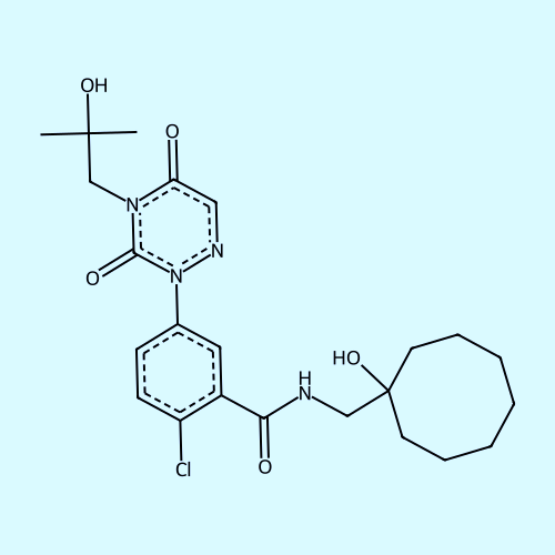 CC(C)(O)Cn1c(=O)cnn(-c2ccc(Cl)c(C(=O)NCC3(O)CCCCCCC3)c2)c1=O